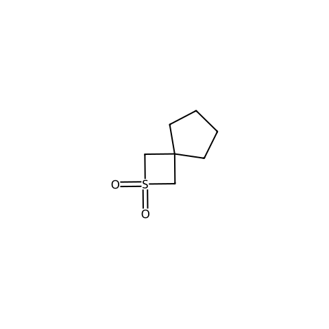 O=S1(=O)CC2(CCCC2)C1